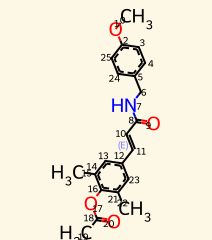 COc1ccc(CNC(=O)/C=C/c2cc(C)c(OC(C)=O)c(C)c2)cc1